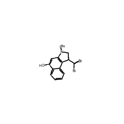 CC(C)(C)N1CC(C(Br)Br)c2c1cc(O)c1ccccc21